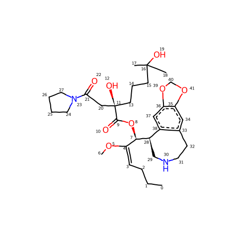 CCC/C=C(/OC)[C@@H](OC(=O)[C@@](O)(CCCC(C)(C)O)CC(=O)N1CCCC1)[C@@H]1CNCCc2cc3c(cc21)OCO3